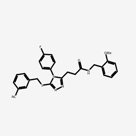 COc1ccccc1CNC(=O)CCc1nnc(SCc2cccc(C#N)c2)n1-c1ccc(F)cc1